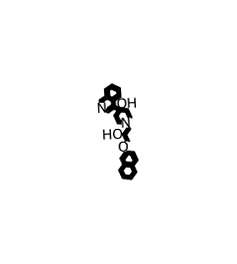 O[C@H](COc1ccc2c(c1)CCCC2)CN1CCC(O)(c2cncc3ccccc23)CC1